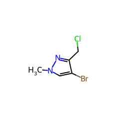 Cn1cc(Br)c(CCl)n1